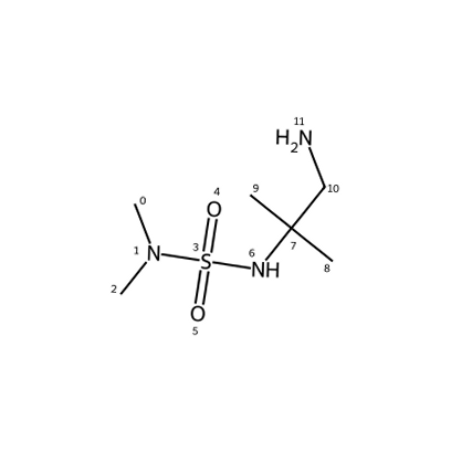 CN(C)S(=O)(=O)NC(C)(C)CN